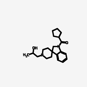 CC(O)CN1CCC2(CC1)CN(C(=O)C1CCCC1)c1ccccc12